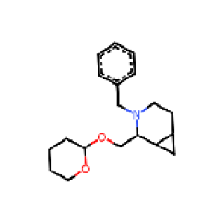 c1ccc(CN2CCC3CC3C2COC2CCCCO2)cc1